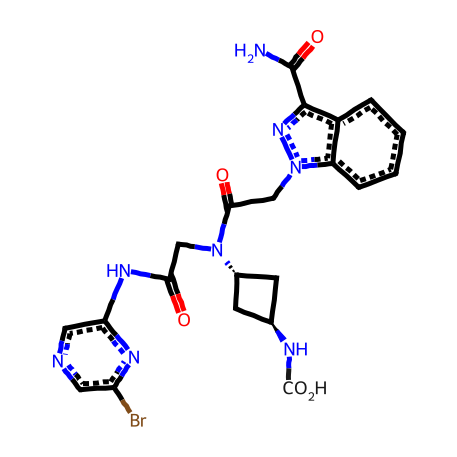 NC(=O)c1nn(CC(=O)N(CC(=O)Nc2cncc(Br)n2)[C@H]2C[C@H](NC(=O)O)C2)c2ccccc12